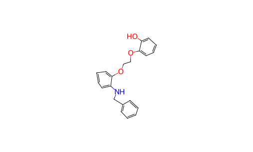 Oc1ccccc1OCCOc1ccccc1NCc1ccccc1